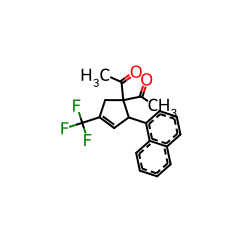 CC(=O)C1(C(C)=O)CC(C(F)(F)F)=CC1c1cccc2ccccc12